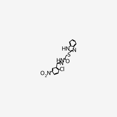 O=C(CSc1nc2ccccc2[nH]1)N/N=C/c1cc([N+](=O)[O-])ccc1Cl